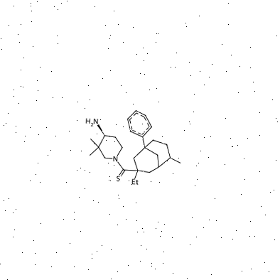 CCC1(C(=S)N2CC[C@H](N)C(C)(C)C2)CC2CC(c3ccccc3)(CCC2C)C1